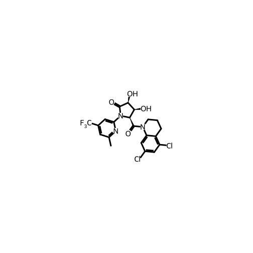 Cc1cc(C(F)(F)F)cc(N2C(=O)[C@@H](O)[C@@H](O)[C@H]2C(=O)N2CCCc3c(Cl)cc(Cl)cc32)n1